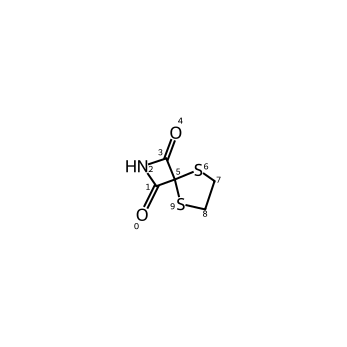 O=C1NC(=O)C12SCCS2